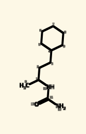 CC(CCC1CCCCC1)NC(N)=O